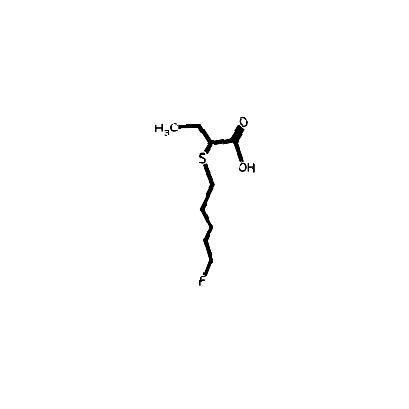 CCC(SCCCCCF)C(=O)O